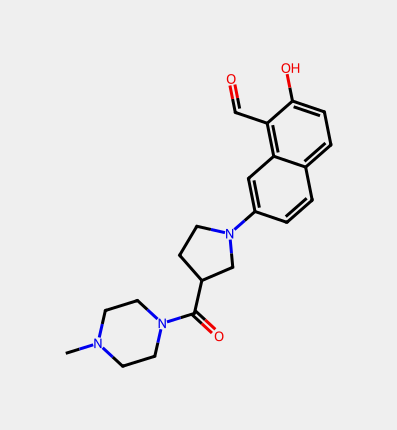 CN1CCN(C(=O)C2CCN(c3ccc4ccc(O)c(C=O)c4c3)C2)CC1